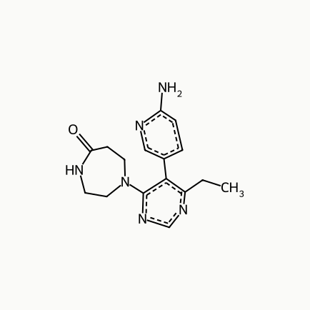 CCc1ncnc(N2CCNC(=O)CC2)c1-c1ccc(N)nc1